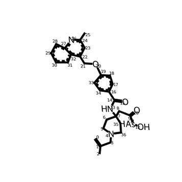 C=C(C)CN1CCC(CC(=O)[AsH]O)(NC(=O)c2ccc(OCc3cc(C)nc4ccccc34)cc2)CC1